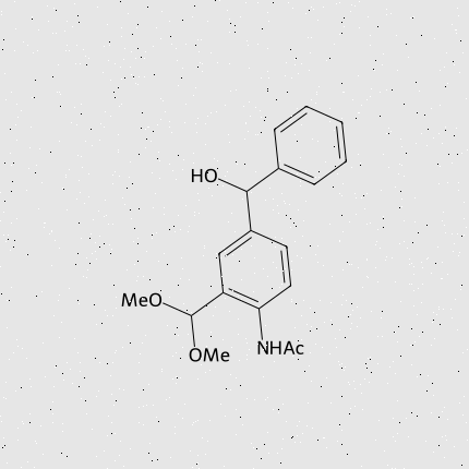 COC(OC)c1cc(C(O)c2ccccc2)ccc1NC(C)=O